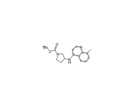 Cc1cccc2c(NC3CCN(C(=O)OC(C)(C)C)C3)ccnc12